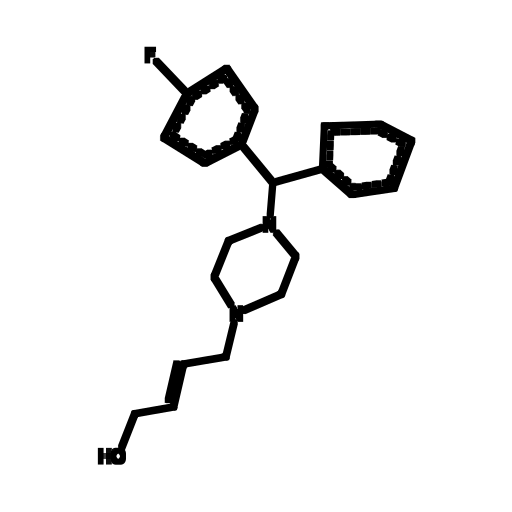 OC/C=C/CN1CCN(C(c2ccccc2)c2ccc(F)cc2)CC1